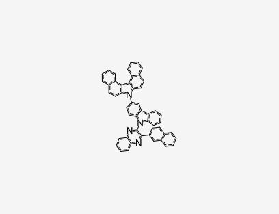 c1ccc2cc(-c3nc4ccccc4nc3-n3c4ccccc4c4cc(-n5c6ccc7ccccc7c6c6c7ccccc7ccc65)ccc43)ccc2c1